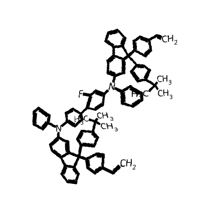 C=Cc1ccc(C2(c3ccc(C(C)(C)C)cc3)c3ccccc3-c3ccc(N(c4ccccc4)c4ccc(-c5ccc(N(c6ccccc6)c6ccc7c(c6)C(c6ccc(C=C)cc6)(c6ccc(C(C)(C)C)cc6)c6ccccc6-7)cc5F)cc4)cc32)cc1